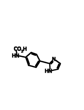 O=C(O)Nc1ccc(-c2ncc[nH]2)cc1